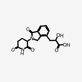 O=C1CCC(N2Cc3c(CC(O)C(=O)O)cccc3C2=O)C(=O)N1